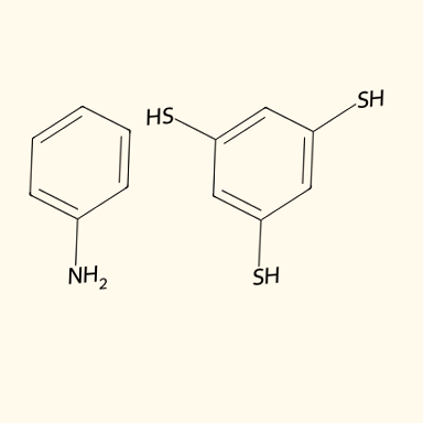 Nc1ccccc1.Sc1cc(S)cc(S)c1